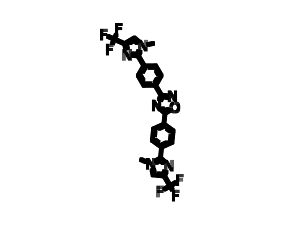 Cn1cc(C(F)(F)F)nc1-c1ccc(-c2noc(-c3ccc(-c4nc(C(F)(F)F)cn4C)cc3)n2)cc1